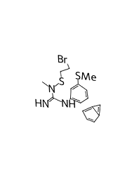 CSc1cccc(NC(=N)N(C)SCCBr)c1.c1cc2cc-2c1